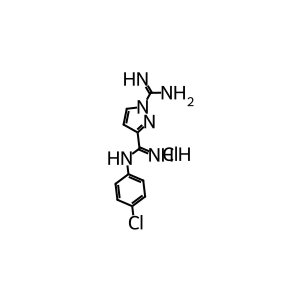 Cl.N=C(Nc1ccc(Cl)cc1)c1ccn(C(=N)N)n1